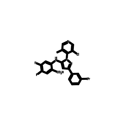 Cc1cncc(Cl)c1-n1nc(-c2cccc(C(C)C)c2)cc1Nc1cc(F)c(F)cc1C(=O)O